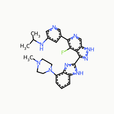 CC(C)Nc1cncc(-c2ncc3[nH]nc(-c4nc5c(N6CCN(C)CC6)cccc5[nH]4)c3c2F)c1